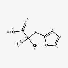 COC(=O)C(C)(S)Cc1ccco1